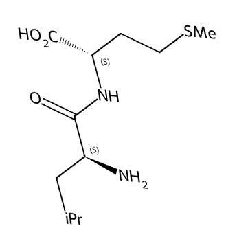 CSCC[C@H](NC(=O)[C@@H](N)CC(C)C)C(=O)O